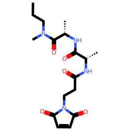 CCCN(C)C(=O)[C@H](C)NC(=O)[C@H](C)NC(=O)CCN1C(=O)C=CC1=O